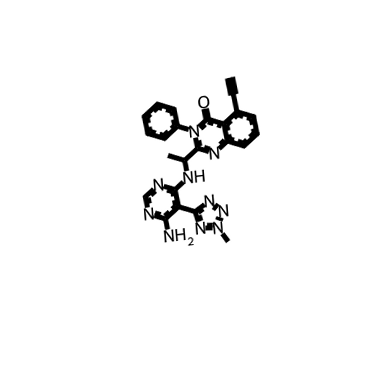 C#Cc1cccc2nc(C(C)Nc3ncnc(N)c3-c3nnn(C)n3)n(-c3ccccc3)c(=O)c12